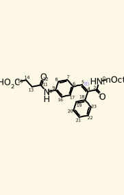 CCCCCCCCNC(=O)/C(=C/c1ccc(NC(=O)CCC(=O)O)cc1)c1ccccc1